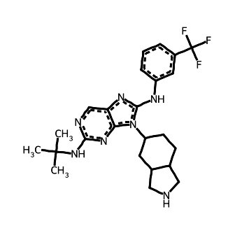 CC(C)(C)Nc1ncc2nc(Nc3cccc(C(F)(F)F)c3)n(C3CCC4CNCC4C3)c2n1